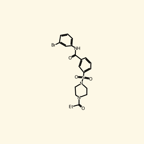 CCC(=O)N1CCN(S(=O)(=O)c2cccc(C(=O)Nc3cccc(Br)c3)c2)CC1